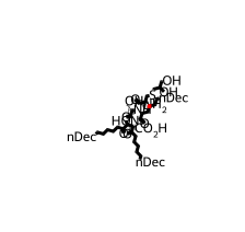 CCCCCCCCCCCCCCCC(=O)C(O)[C@](C(=O)O)(C(=O)CCCCCCCCCCCCCCC)N(C(=O)CCCCCCCCCCCCCCC)C(=O)[C@H](CO)NC(=O)[C@@H](N)CSCC(O)CO